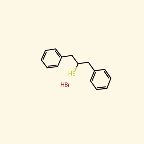 Br.SC(Cc1ccccc1)Cc1ccccc1